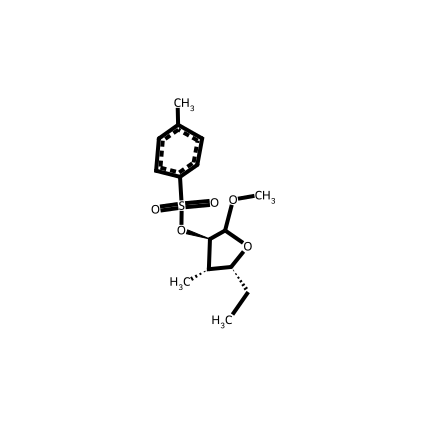 CC[C@H]1OC(OC)[C@H](OS(=O)(=O)c2ccc(C)cc2)[C@H]1C